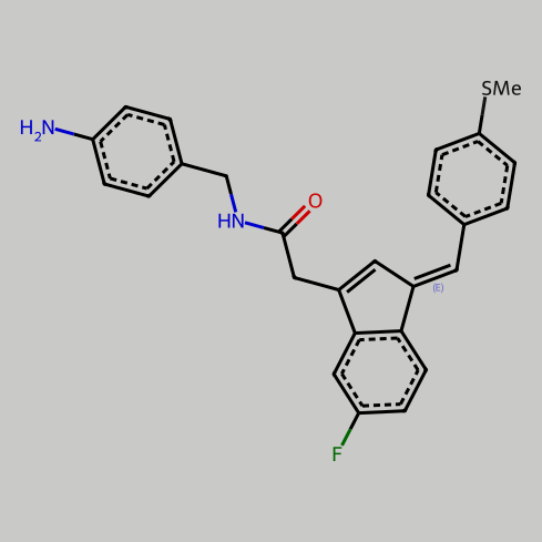 CSc1ccc(/C=C2\C=C(CC(=O)NCc3ccc(N)cc3)c3cc(F)ccc32)cc1